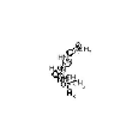 CCC(C)C(=O)N(C)c1nc2ccccc2n1CN(C)c1ccnc(Nc2ccc(CS(C)(=O)=O)cc2)n1